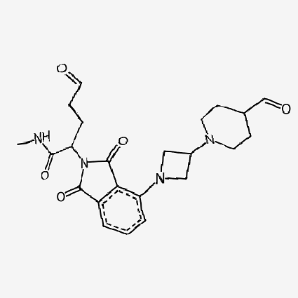 CNC(=O)C(CCC=O)N1C(=O)c2cccc(N3CC(N4CCC(C=O)CC4)C3)c2C1=O